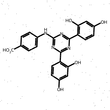 O=C(O)c1ccc(Nc2nc(-c3ccc(O)cc3O)nc(-c3ccc(O)cc3O)n2)cc1